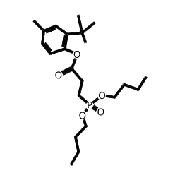 CCCCOP(=O)(CCC(=O)Oc1ccc(C)cc1C(C)(C)C)OCCCC